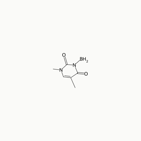 Bn1c(=O)c(C)cn(C)c1=O